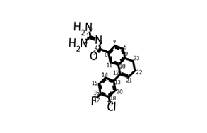 NC(N)=NC(=O)c1ccc2c(c1)C(c1ccc(F)c(Cl)c1)=CCC2